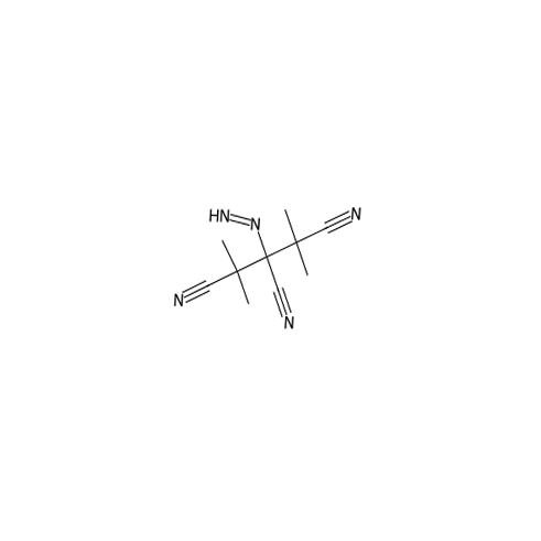 CC(C)(C#N)C(C#N)(N=N)C(C)(C)C#N